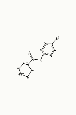 O=C(Cc1ccc(Br)cc1)N1CCNCC1